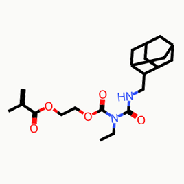 C=C(C)C(=O)OCCOC(=O)N(CC)C(=O)NCC1C2CC3CC(C2)CC1C3